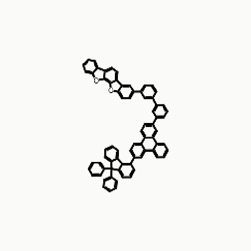 c1ccc(C2(c3ccccc3)c3ccccc3-c3c(-c4ccc5c6ccc(-c7cccc(-c8cccc(-c9ccc%10oc%11c(ccc%12c%13ccccc%13oc%12%11)c%10c9)c8)c7)cc6c6ccccc6c5c4)cccc32)cc1